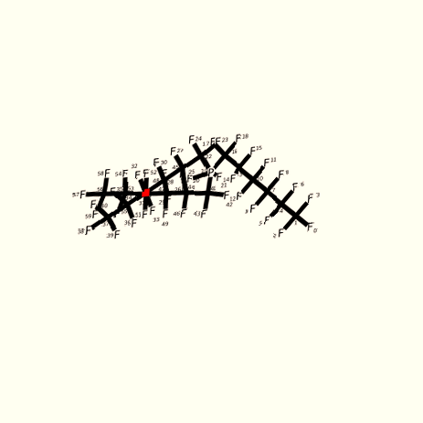 FC(F)(F)C(F)(F)C(F)(F)C(F)(F)C(F)(F)C(F)(F)P(F)(F)(C(F)(F)C(F)(F)C(F)(F)C(F)(F)C(F)(F)C(F)(F)F)C(F)(F)C(F)(F)C(F)(F)C(F)(F)C(F)(F)C(F)(F)F